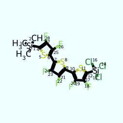 C[Si](C)(C)c1sc(-c2sc(-c3sc([Si](Cl)(Cl)Cl)c(F)c3F)c(F)c2F)c(F)c1F